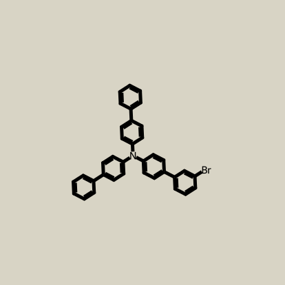 Brc1cccc(-c2ccc(N(c3ccc(-c4ccccc4)cc3)c3ccc(-c4ccccc4)cc3)cc2)c1